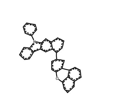 c1ccc(-n2c3ccccc3c3cc4c(-c5ccc6c(c5)-c5cccc7cccc(c57)O6)cccc4cc32)cc1